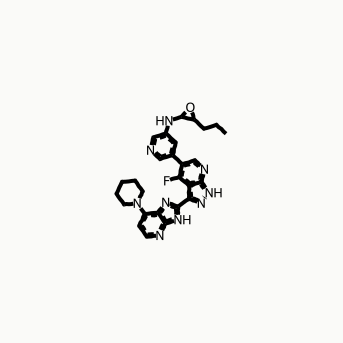 CCCC1OC1Nc1cncc(-c2cnc3[nH]nc(-c4nc5c(N6CCCCC6)ccnc5[nH]4)c3c2F)c1